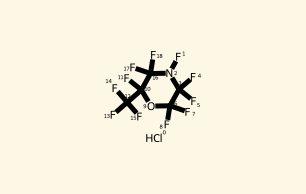 Cl.FN1C(F)(F)C(F)(F)OC(F)(C(F)(F)F)C1(F)F